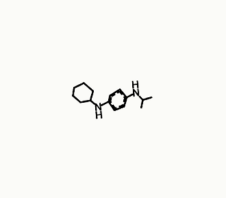 CC(C)Nc1ccc(NC2CCCCC2)cc1